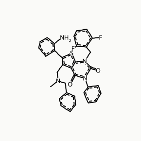 CN(Cc1ccccc1)Cc1c(-c2ccccc2N)sc2c1c(=O)n(-c1ccccc1)c(=O)n2Cc1c(F)cccc1F